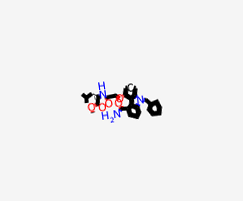 COC(=O)[C@H](CC(C)C)NC(=O)COc1cccc2c1c1c(C(N)=O)cccc1n2Cc1ccccc1